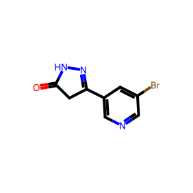 O=C1CC(c2cncc(Br)c2)=NN1